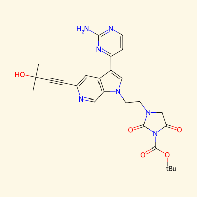 CC(C)(O)C#Cc1cc2c(-c3ccnc(N)n3)cn(CCN3CC(=O)N(C(=O)OC(C)(C)C)C3=O)c2cn1